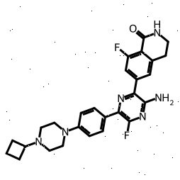 Nc1nc(F)c(-c2ccc(N3CCN(C4CCC4)CC3)cc2)nc1-c1cc(F)c2c(c1)CCNC2=O